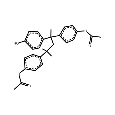 CC(=O)Oc1ccc(C(C)(C)CC(C)(c2ccc(O)cc2)c2ccc(OC(C)=O)cc2)cc1